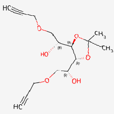 C#CCOC[C@@H](O)[C@H]1OC(C)(C)O[C@@H]1[C@H](O)COCC#C